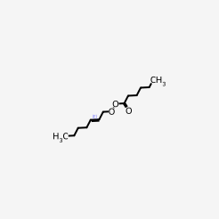 CCCC/C=C/COOC(=O)CCCCC